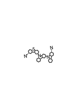 N#Cc1ccc2sc3ccc(-n4c5ccccc5c5cc(-n6c7ccccc7c7ccc(C#N)cc76)ccc54)cc3c2c1